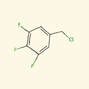 Fc1cc(CCl)cc(F)c1F